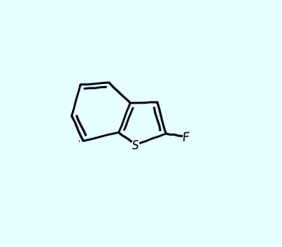 Fc1cc2ccc[c]c2s1